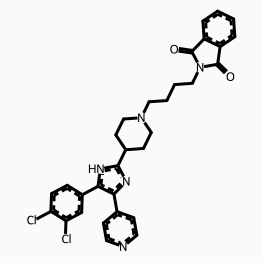 O=C1c2ccccc2C(=O)N1CCCCN1CCC(c2nc(-c3ccncc3)c(-c3ccc(Cl)c(Cl)c3)[nH]2)CC1